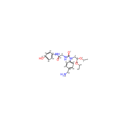 CCOC(CN(C(=O)NCC(=O)Nc1ccc(O)cc1)c1ccc(CN)cc1)OCC